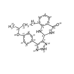 Cc1cccc2c1NC(c1n[nH]nc1-c1ccc(OC(C)C)cc1)NC2=O